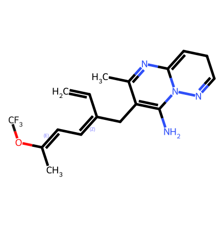 C=C/C(=C\C=C(/C)OC(F)(F)F)CC1=C(N)N2N=CCC=C2N=C1C